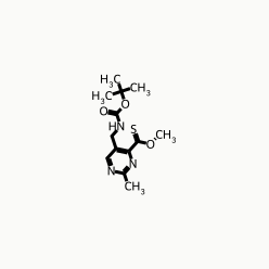 COC(=S)c1nc(C)ncc1CNC(=O)OC(C)(C)C